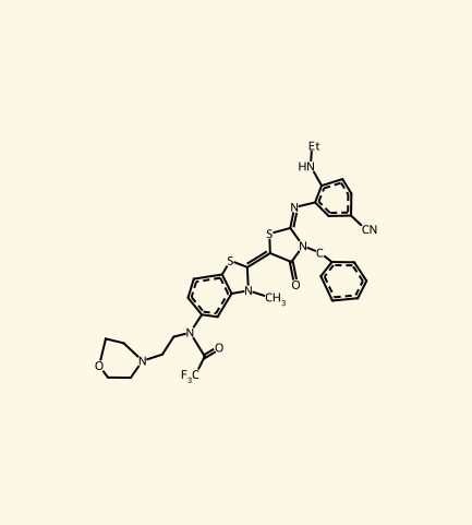 CCNc1ccc(C#N)cc1/N=C1/S/C(=C2\Sc3ccc(N(CCN4CCOCC4)C(=O)C(F)(F)F)cc3N2C)C(=O)N1Cc1ccccc1